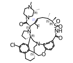 C[C@@H]1CN(C(=O)[C@H]2/C(F)=C/C[C@H](C)[C@@H](C)S(=O)(=O)NC(=O)c3ccc4c(c3)N3C[C@@]5(CCCc6cc(Cl)cc(c65)[C@]5(CCCN25)C3)CO4)CCN1C